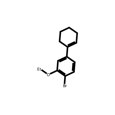 CCOc1cc(C2=CCCCC2)ccc1Br